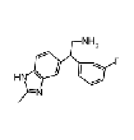 Cc1nc2cc(C(CN)c3cccc(F)c3)ccc2[nH]1